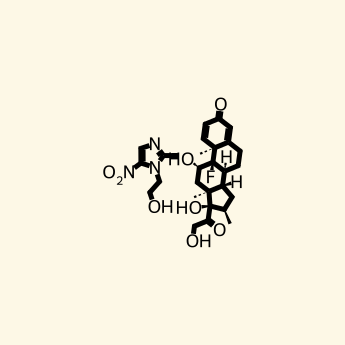 C[C@@H]1C[C@H]2[C@@H]3CCC4=CC(=O)C=C[C@]4(C)[C@@]3(F)[C@@H](O)C[C@]2(C)[C@@]1(O)C(=O)CO.Cc1ncc([N+](=O)[O-])n1CCO